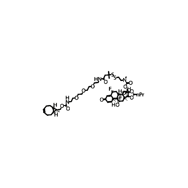 CCCC1O[C@@H]2CC3[C@@H]4C[C@H](F)C5=CC(=O)C=C[C@]5(C)[C@@]4(F)[C@@H](O)C[C@]3(C)[C@]2(C(=O)COC(=O)N(C)CCSSC(C)(C)CC(=O)NCCOCCOCCOCCNC(=O)OC[C@@H]2[C@@H]3CCC#CCC[C@@H]32)O1